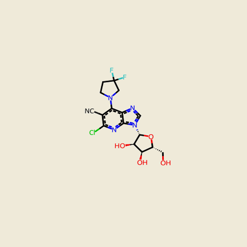 N#Cc1c(Cl)nc2c(ncn2[C@@H]2O[C@H](CO)[C@@H](O)[C@H]2O)c1N1CCC(F)(F)C1